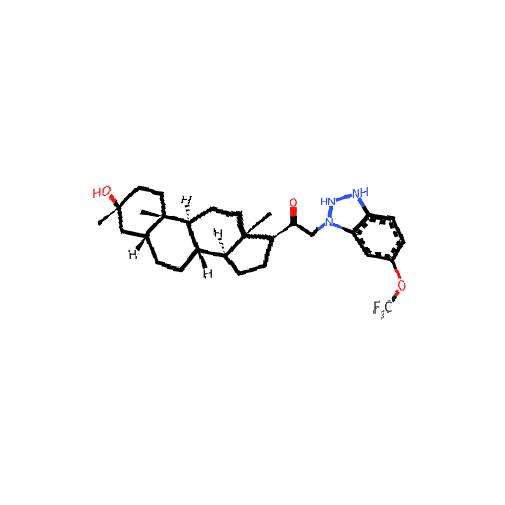 C[C@@]1(O)CC[C@@]2(C)[C@H](CC[C@@H]3[C@@H]2CC[C@]2(C)[C@@H](C(=O)CN4NNc5ccc(OC(F)(F)F)cc54)CC[C@@H]32)C1